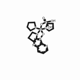 O=P(O)(O)OP(On1nnc2cccnc21)(N1CCCC1)(N1CCCC1)N1CCCC1